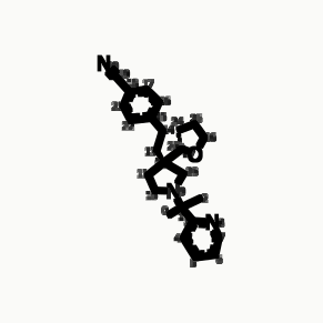 CC(C)(c1ccccn1)N1CC[C@](CCc2ccc(C#N)cc2)([C@@H]2CCCO2)C1